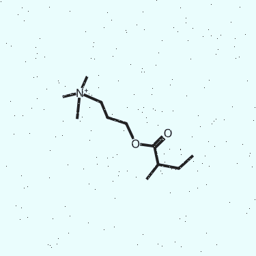 CCC(C)C(=O)OCCC[N+](C)(C)C